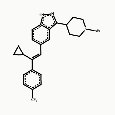 CCCCN1CCC(c2n[nH]c3ccc(C=C(c4ccc(C(F)(F)F)cc4)C4CC4)cc23)CC1